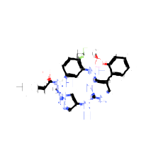 C=CC(=O)Nc1ccc(F)c(Nc2nc(Nc3cnn(C)c3)ncc2-c2ccccc2OC)c1